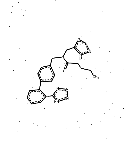 CCCCC(=O)N(Cc1ccc(-c2ccccc2-c2nnn[nH]2)cc1)Cc1nnn[nH]1